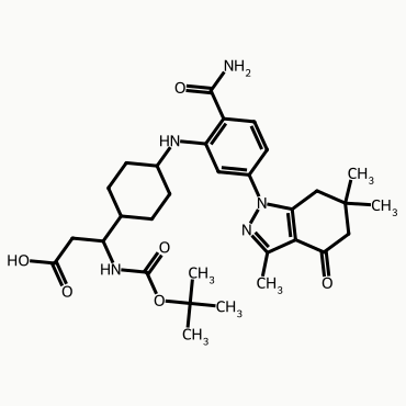 Cc1nn(-c2ccc(C(N)=O)c(NC3CCC(C(CC(=O)O)NC(=O)OC(C)(C)C)CC3)c2)c2c1C(=O)CC(C)(C)C2